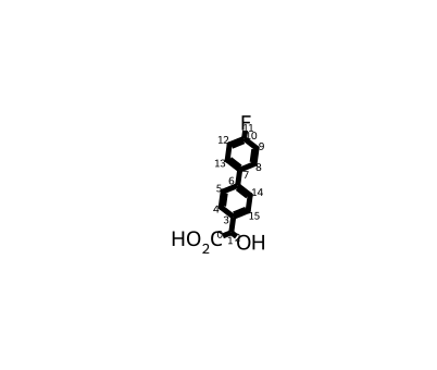 O=C(O)C(O)c1ccc(-c2ccc(F)cc2)cc1